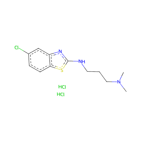 CN(C)CCCNc1nc2cc(Cl)ccc2s1.Cl.Cl